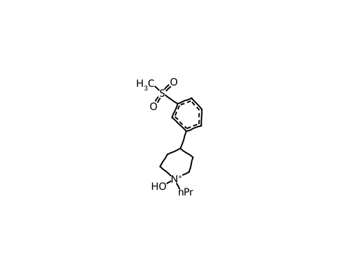 CCC[N+]1(O)CCC(c2cccc(S(C)(=O)=O)c2)CC1